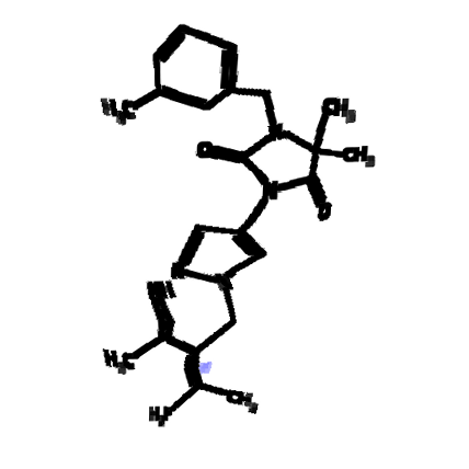 CC(=N)/C(Cn1cc(N2C(=O)N(Cc3cccc(C)c3)C(C)(C)C2=O)cn1)=C(/C)P